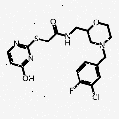 O=C(CSc1nccc(O)n1)NCC1CN(Cc2ccc(F)c(Cl)c2)CCO1